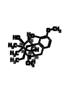 CC[C@@H]1[C@H]2[C@H]3Cc4ccc(OC)c5c4[C@@]2(CCN3C)[C@@H](O5)[C@H](O)C1(C)C